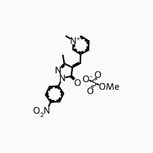 CC1=NN(c2ccc([N+](=O)[O-])cc2)C(=O)/C1=C/c1ccc[n+](C)c1.COS(=O)(=O)[O-]